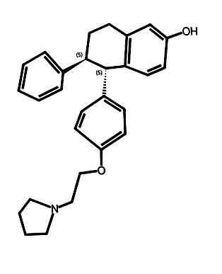 Oc1ccc2c(c1)CC[C@H](c1ccccc1)[C@H]2c1ccc(OCCN2CCCC2)cc1